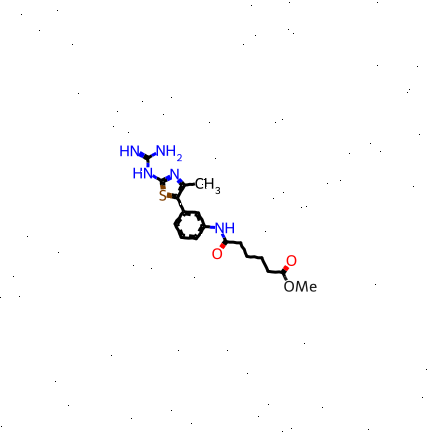 COC(=O)CCCCC(=O)Nc1cccc(-c2sc(NC(=N)N)nc2C)c1